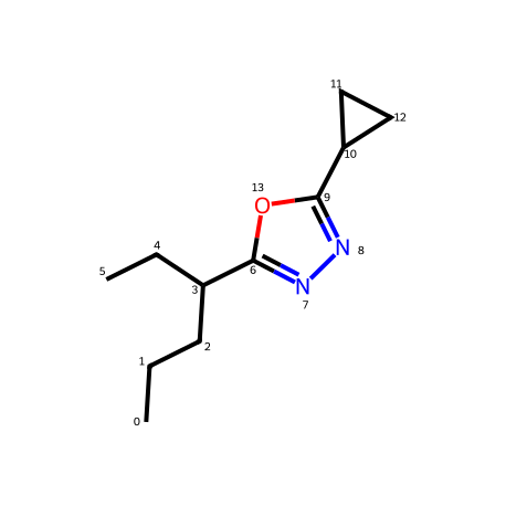 CCCC(CC)c1nnc(C2CC2)o1